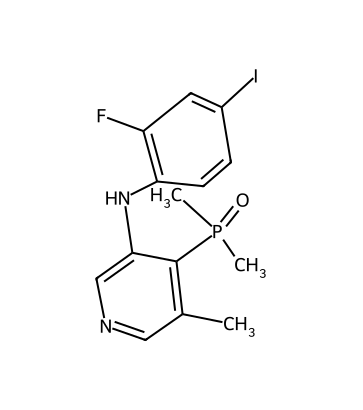 Cc1cncc(Nc2ccc(I)cc2F)c1P(C)(C)=O